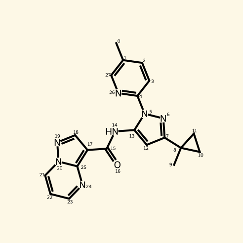 Cc1ccc(-n2nc(C3(C)CC3)cc2NC(=O)c2cnn3cccnc23)nc1